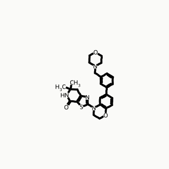 CC1(C)Cc2nc(N3CCOc4ccc(-c5cccc(CN6CCOCC6)c5)cc43)sc2C(=O)N1